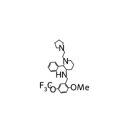 COc1ccc(OC(F)(F)F)cc1CNC1CCCN(CCN2CCCC2)C1c1ccccc1